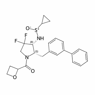 O=C(C1CCO1)N1CC(F)(F)[C@H](N[S+]([O-])C2CC2)[C@@H]1Cc1cccc(-c2ccccc2)c1